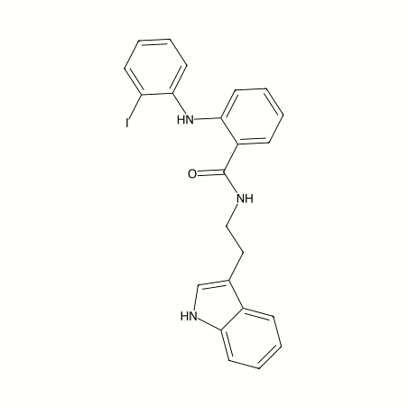 O=C(NCCc1c[nH]c2ccccc12)c1ccccc1Nc1ccccc1I